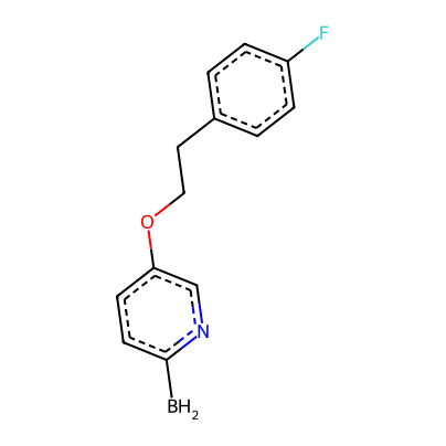 Bc1ccc(OCCc2ccc(F)cc2)cn1